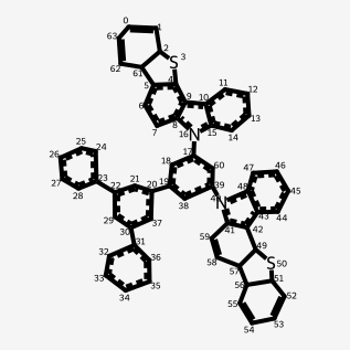 C1=CC2Sc3c(ccc4c3c3ccccc3n4-c3cc(-c4cc(-c5ccccc5)cc(-c5ccccc5)c4)cc(-n4c5c(c6ccccc64)C4SC6C=CC=CC6C4C=C5)c3)C2C=C1